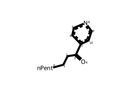 CCCCCCCC(=O)c1ccncc1